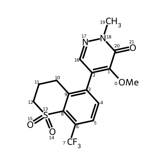 COc1c(-c2ccc(C(F)(F)F)c3c2CCCS3(=O)=O)cnn(C)c1=O